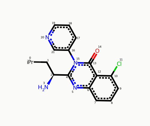 CC(C)C[C@H](N)c1nc2cccc(Cl)c2c(=O)n1-c1cccnc1